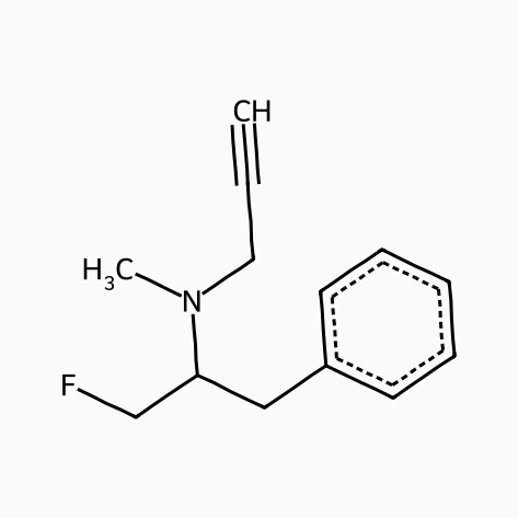 C#CCN(C)C(CF)Cc1ccccc1